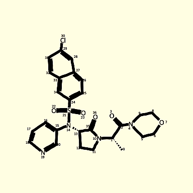 C[C@@H](C(=O)N1CCOCC1)N1CC[C@H](N(c2cccnc2)S(=O)(=O)c2ccc3cc(Cl)ccc3c2)C1=O